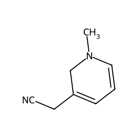 CN1C=CC=C(CC#N)C1